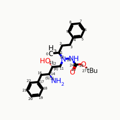 CC(CCc1ccccc1)N(C[C@@H](O)[C@@H](N)Cc1ccccc1)NC(=O)OC(C)(C)C